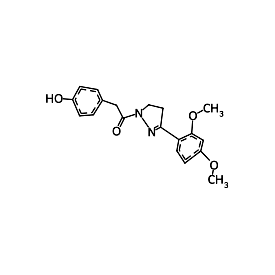 COc1ccc(C2=NN(C(=O)Cc3ccc(O)cc3)CC2)c(OC)c1